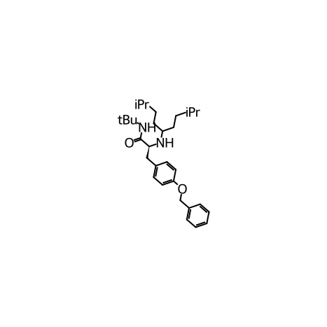 CC(C)CCC(CCC(C)C)N[C@@H](Cc1ccc(OCc2ccccc2)cc1)C(=O)NC(C)(C)C